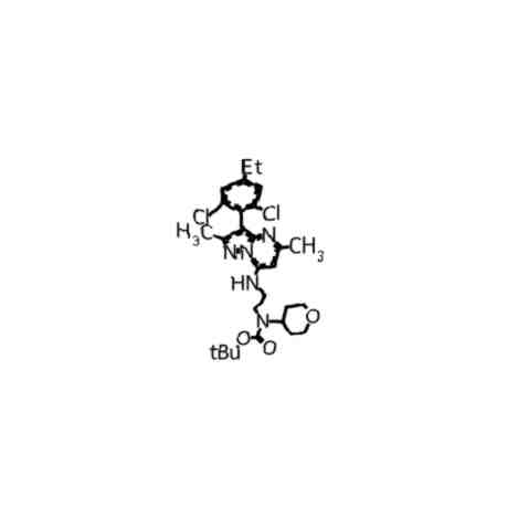 CCc1cc(Cl)c(-c2c(C)nn3c(NCCN(C(=O)OC(C)(C)C)C4CCOCC4)cc(C)nc23)c(Cl)c1